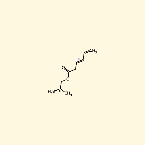 B[C@H](C)COC(=O)C/C=C/C=C